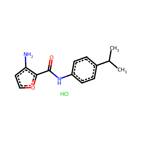 CC(C)c1ccc(NC(=O)c2occc2N)cc1.Cl